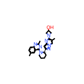 Cc1ccc2nc(C)nc(N3CCCC[C@@H]3c3cc4nc(N5CC(O)C5)c(C)cn4n3)c2c1